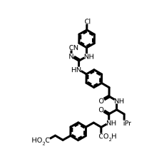 CC(C)CC(NC(=O)Cc1ccc(NC(=NC#N)Nc2ccc(Cl)cc2)cc1)C(=O)NC(Cc1ccc(CCC(=O)O)cc1)C(=O)O